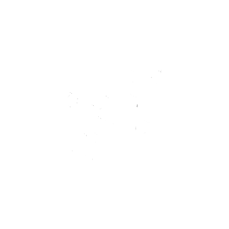 CC(C)c1nc(CN(C)C(=O)NC(Cc2c[nH]cn2)C(=O)NC(CCC(Cc2ccccc2)NC(=O)OCC2=CNCS2)Cc2ccccc2)cs1